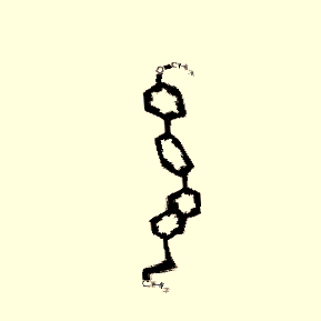 CCCc1ccc2cc(-c3ccc(-c4ccc(OC)cc4)cc3)ccc2c1